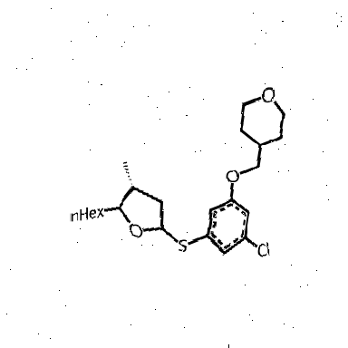 CCCCCCC1OC(Sc2cc(Cl)cc(OCC3CCOCC3)c2)C[C@H]1C